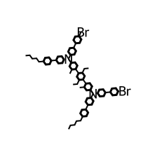 CCCCCc1ccc(-c2ccc(N(c3ccc(-c4ccc(Br)cc4)cc3)c3ccc(-c4cc(CC)c(-c5ccc(N(c6ccc(-c7ccc(Br)cc7)cc6)c6ccc(-c7ccc(CCCCC)cc7)cc6)cc5C)cc4CC)c(C)c3)cc2)cc1